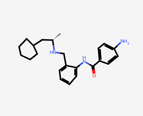 C[C@@H](CC1CCCCC1)NCc1ccccc1NC(=O)c1ccc(N)cc1